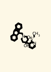 CC[S+]([O-])c1ncccc1C1(O)CCN(CC23CC(c4ccccc42)c2ccccc23)CC1